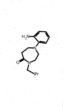 CC(C)CN1CCN(c2ccccc2N)CCC1=O